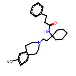 N#Cc1ccc2c(c1)CCN(CCC1(NC(=O)CCc3ccccc3)CCCCC1)CC2